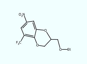 CCOCC1COc2c(cc([N+](=O)[O-])cc2C(F)(F)F)O1